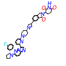 O=C1CCC(N2Cc3ccc(C4CN(C5CCN(c6cccc(-c7cnc8ccc(N9CCC[C@@H]9c9cccc(F)c9)nn78)n6)CC5)C4)cc3C2=O)C(=O)N1